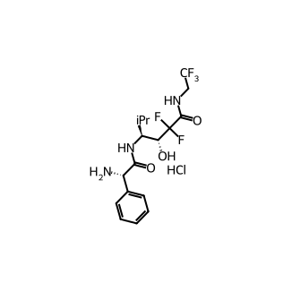 CC(C)[C@H](NC(=O)[C@@H](N)c1ccccc1)[C@@H](O)C(F)(F)C(=O)NCC(F)(F)F.Cl